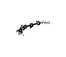 CCCCCC1C=CC(C#Cc2ccc(C#Cc3ccc(C(F)(F)Oc4cc(F)c(C(F)(F)F)c(F)c4)c(F)c3)c(F)c2)=NC1